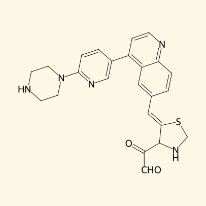 O=CC(=O)C1NCS/C1=C\c1ccc2nccc(-c3ccc(N4CCNCC4)nc3)c2c1